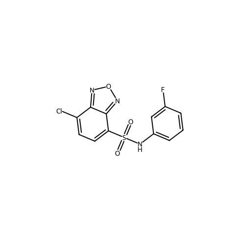 O=S(=O)(Nc1cccc(F)c1)c1ccc(Cl)c2nonc12